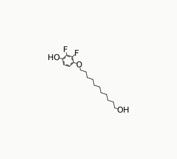 OCCCCCCCCCCCOc1ccc(O)c(F)c1F